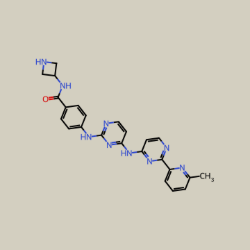 Cc1cccc(-c2nccc(Nc3ccnc(Nc4ccc(C(=O)NC5CNC5)cc4)n3)n2)n1